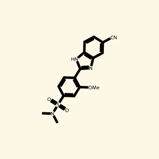 COc1cc(S(=O)(=O)N(C)C)ccc1-c1nc2cc(C#N)ccc2[nH]1